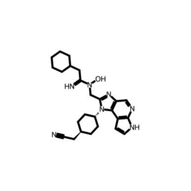 N#CC[C@H]1CC[C@H](n2c(CN(O)C(=N)CC3CCCCC3)nc3cnc4[nH]ccc4c32)CC1